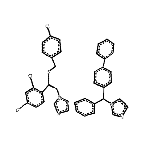 Clc1ccc(CSC(Cn2ccnc2)c2ccc(Cl)cc2Cl)cc1.c1ccc(-c2ccc(C(c3ccccc3)n3ccnc3)cc2)cc1